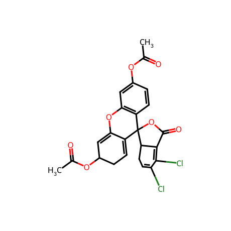 CC(=O)Oc1ccc2c(c1)OC1=CC(OC(C)=O)CC=C1C21OC(=O)C2=C(Cl)C(Cl)=CCC21